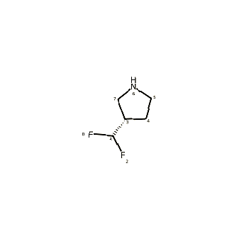 FC(F)[C@H]1CCNC1